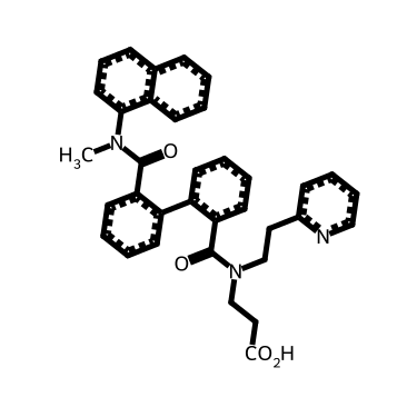 CN(C(=O)c1ccccc1-c1ccccc1C(=O)N(CCC(=O)O)CCc1ccccn1)c1cccc2ccccc12